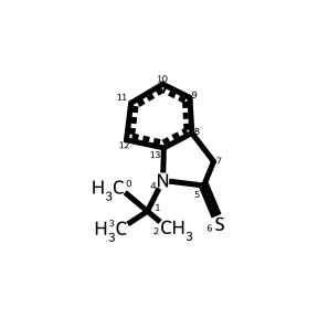 CC(C)(C)N1C(=S)Cc2ccccc21